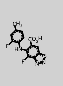 Cc1ccc(Nc2c(C(=O)O)cc3snnc3c2F)c(F)c1